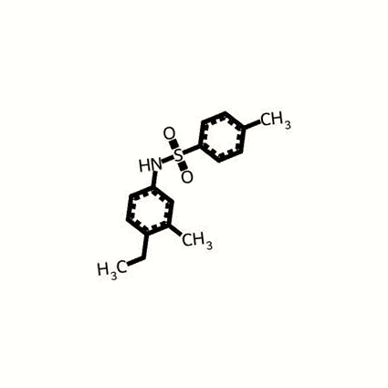 CCc1ccc(NS(=O)(=O)c2ccc(C)cc2)cc1C